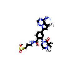 CC(=O)N1CCN(c2cc(-c3cc(C(F)(F)F)c4c(N)ncnn34)ccc2C(=O)NCCC[SH](=O)=O)C(=O)C1(C)C